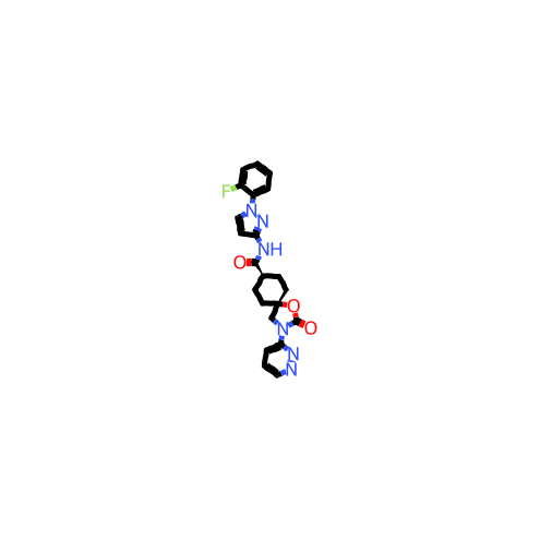 O=C1O[C@]2(CC[C@H](C(=O)Nc3ccn(-c4ccccc4F)n3)CC2)CN1c1cccnn1